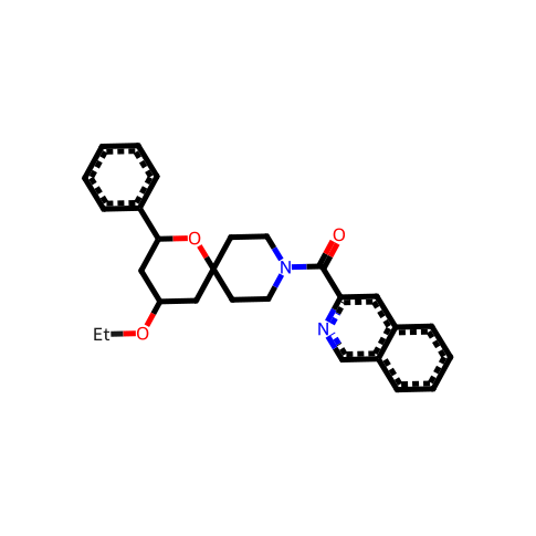 CCOC1CC(c2ccccc2)OC2(CCN(C(=O)c3cc4ccccc4cn3)CC2)C1